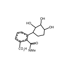 CNC(=O)c1c(C(=O)O)cccc1C1CCC(O)C(O)C1O